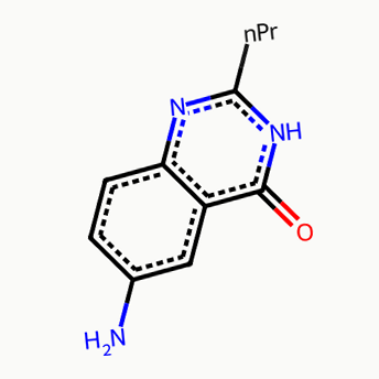 CCCc1nc2ccc(N)cc2c(=O)[nH]1